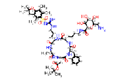 Cc1c(C)c(S(=O)(=O)NC(=N)NCCC[C@@H]2NC(=O)[C@H](CCCCNC(=O)C3OC(CN)C(O)C(O)C3O)NC(=O)[C@@H](Cc3ccccc3)NC(=O)[C@H](CC(=O)OC(C)(C)C)NC(=O)[C@H](C)NC2=O)c(C)c2c1OC(C)(C)C2